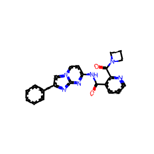 O=C(Nc1ccn2cc(-c3ccccc3)nc2n1)c1cccnc1C(=O)N1CCC1